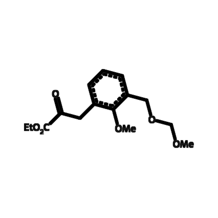 CCOC(=O)C(=O)Cc1cccc(COCOC)c1OC